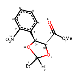 CCC1(CC)O[C@@H](C(=O)OC)[C@H](c2ccccc2[N+](=O)[O-])O1